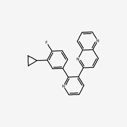 Fc1ccc(-c2ncccc2-c2ccc3ncccc3n2)cc1C1CC1